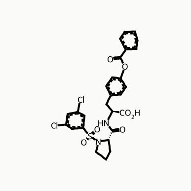 O=C(Oc1ccc(C[C@H](NC(=O)[C@@H]2CCCN2S(=O)(=O)c2cc(Cl)cc(Cl)c2)C(=O)O)cc1)c1ccccc1